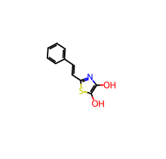 Oc1nc(C=Cc2ccccc2)sc1O